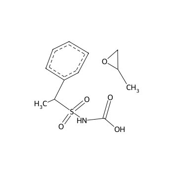 CC(c1ccccc1)S(=O)(=O)NC(=O)O.CC1CO1